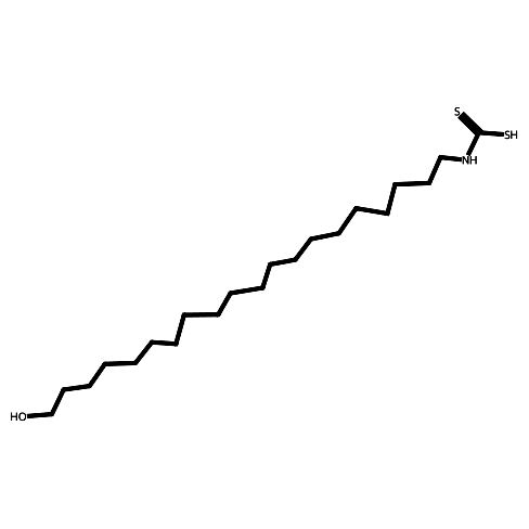 OCCCCCCCCCCCCCCCCCCCCNC(=S)S